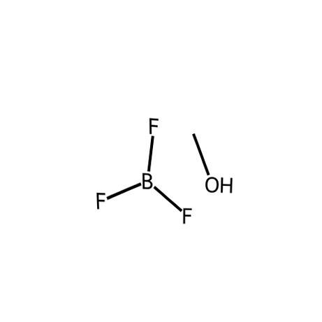 CO.FB(F)F